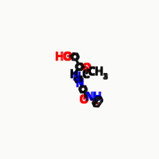 CC(C)Oc1cc(CN2CCN(c3ccc(C(=O)NCC45CC6CC(CC(C6)C4)C5)cc3)CC2)cc(-c2cccc(O)c2)c1